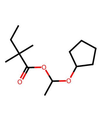 CCC(C)(C)C(=O)OC(C)OC1CCCC1